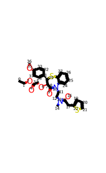 CCOC(=O)CO[C@@H]1C(=O)N(CCN(C)C(=O)Cc2cccs2)c2ccccc2S[C@@H]1c1ccc(OC)cc1